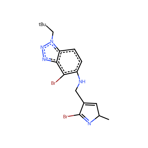 CC1C=C(CNc2ccc3c(nnn3CC(C)(C)C)c2Br)C(Br)=N1